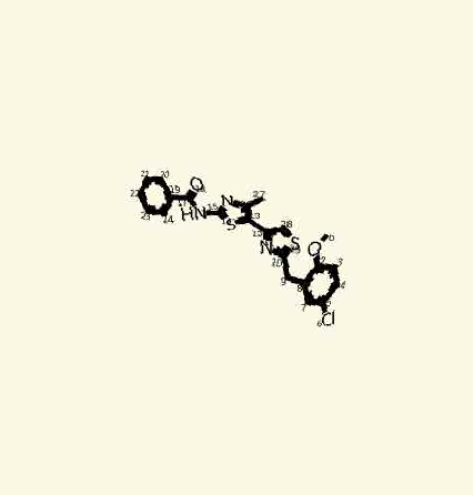 COc1ccc(Cl)cc1Cc1nc(-c2sc(NC(=O)c3ccccc3)nc2C)cs1